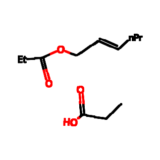 CCC(=O)O.CCC/C=C/COC(=O)CC